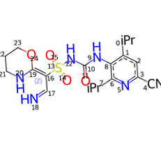 CC(C)c1cc(C#N)nc(C(C)C)c1NC(=O)NS(=O)(=O)/C(C=N)=C1/NCCCO1